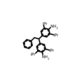 CC(C)c1cc(C(Cc2ccccc2)c2cc(C(C)C)c(N)c(C(C)C)c2)cc(C(C)C)c1N